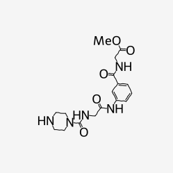 COC(=O)CNC(=O)c1cccc(NC(=O)CNC(=O)N2CCNCC2)c1